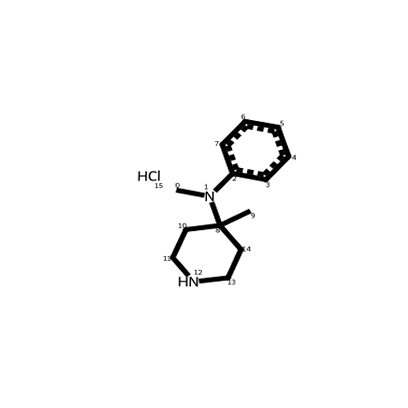 CN(c1ccccc1)C1(C)CCNCC1.Cl